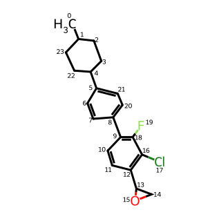 CC1CCC(c2ccc(-c3ccc(C4CO4)c(Cl)c3F)cc2)CC1